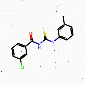 Cc1cccc(NC(=S)NC(=O)c2cccc(Cl)c2)c1